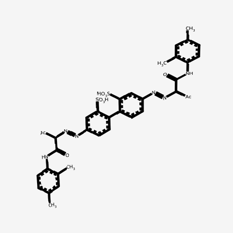 CC(=O)C(N=Nc1ccc(-c2ccc(N=NC(C(C)=O)C(=O)Nc3ccc(C)cc3C)cc2S(=O)(=O)O)c(S(=O)(=O)O)c1)C(=O)Nc1ccc(C)cc1C